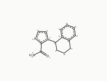 NC(=O)c1nc[c]n1C1CCCc2ccccc21